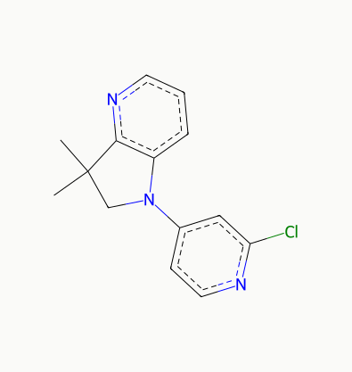 CC1(C)CN(c2ccnc(Cl)c2)c2cccnc21